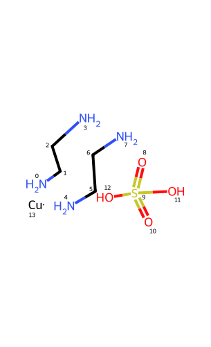 NCCN.NCCN.O=S(=O)(O)O.[Cu]